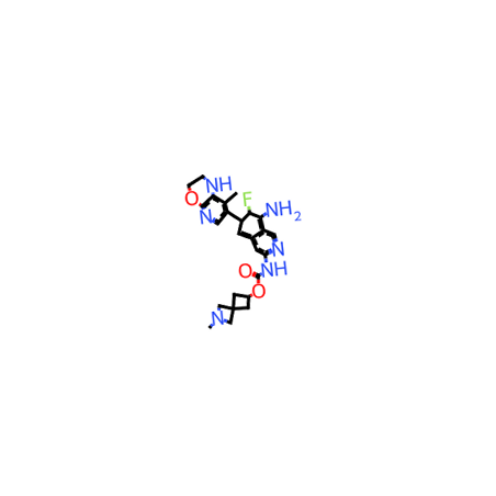 Cc1c(C2C=c3cc(NC(=O)OC4CC5(C4)CN(C)C5)ncc3=C(N)C2F)cnc2c1NCCO2